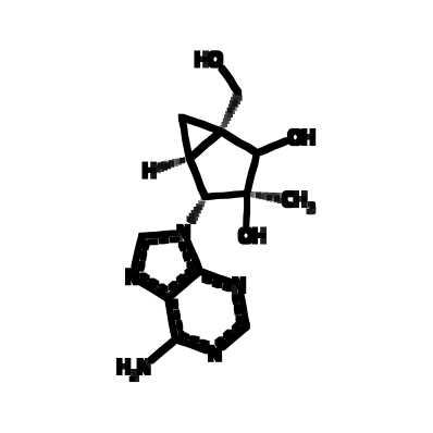 C[C@@]1(O)C(O)[C@]2(CO)C[C@@H]2[C@H]1n1cnc2c(N)ncnc21